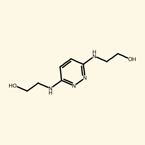 OCCNc1ccc(NCCO)nn1